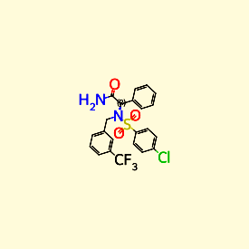 NC(=O)[C@@H](c1ccccc1)N(Cc1cccc(C(F)(F)F)c1)S(=O)(=O)c1ccc(Cl)cc1